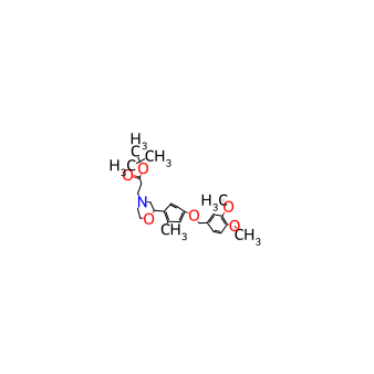 COc1ccc(COc2ccc(C3CN(CCC(=O)OC(C)(C)C)CCO3)c(C)c2)cc1OC